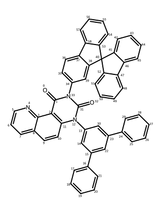 O=c1c2c3ncccc3ccc2n(-c2cc(-c3ccccc3)cc(-c3ccccc3)c2)c(=O)n1-c1ccc2c(c1)C1(c3ccccc3-c3ccccc31)c1ccccc1-2